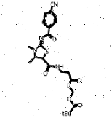 CC1C(C(=O)NCCC(=O)OCOC(=O)C(C)(C)C)SC(=NC(=O)c2ccc(C#N)cc2)N1C